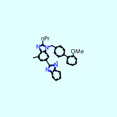 CCCc1nc2c(C)cc(-c3nc4ccccc4n3C)cc2n1Cc1ccc(-c2ccccc2OC)cc1